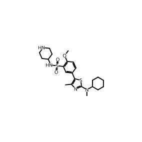 COc1ccc(-c2sc(N(C)C3CCCCC3)nc2C)cc1S(=O)(=O)NC1CCNCC1